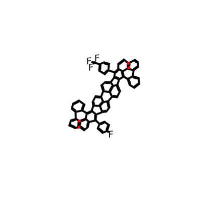 Fc1ccc(-c2c3c(c(-c4ccccc4-c4ccccc4)c4ccccc24)-c2ccc4c5ccc6c7c(ccc(c8ccc-3c2c84)c75)-c2c-6c(-c3ccc(C(F)(F)F)cc3)c3ccccc3c2-c2ccccc2-c2ccccc2)cc1